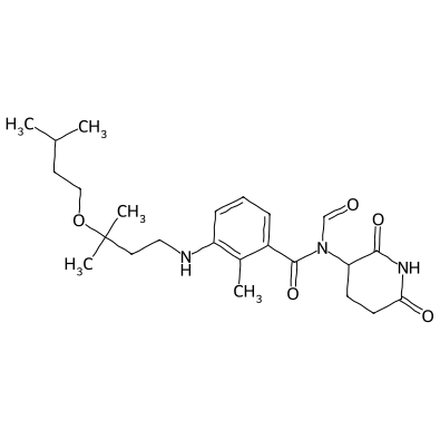 Cc1c(NCCC(C)(C)OCCC(C)C)cccc1C(=O)N(C=O)C1CCC(=O)NC1=O